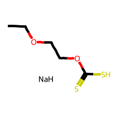 CCOCCOC(=S)S.[NaH]